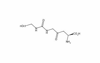 CCCCCCCCCNC(=O)NCC(=O)C[C@H](N)C(=O)O